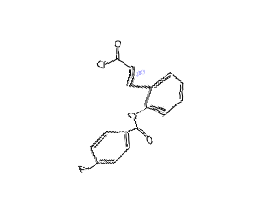 O=C(Cl)/C=C/c1ccccc1OC(=O)c1ccc(F)cc1